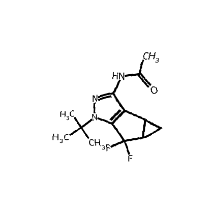 CC(=O)Nc1nn(C(C)(C)C)c2c1C1CC1C2(F)F